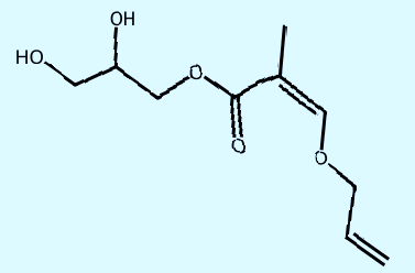 C=CCOC=C(C)C(=O)OCC(O)CO